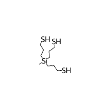 C[Si](CCCS)(CCCS)CCCS